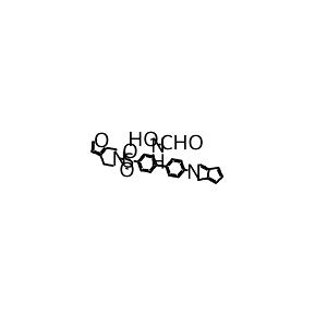 O=CNO.O=S(=O)(c1ccc(-c2ccc(N3C=C4C=CC=C4C3)cc2)cc1)N1CCc2ccoc2C1